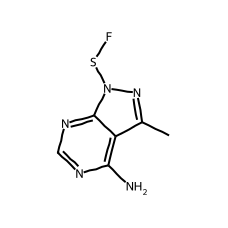 Cc1nn(SF)c2ncnc(N)c12